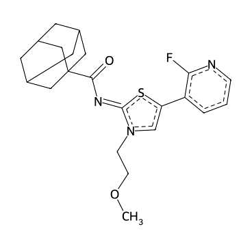 COCCn1cc(-c2cccnc2F)s/c1=N\C(=O)C12CC3CC(CC(C3)C1)C2